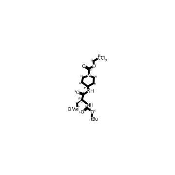 COC[C@H](NC(=O)OC(C)(C)C)C(=O)NC1CCN(C(=O)OCC(Cl)(Cl)Cl)CC1